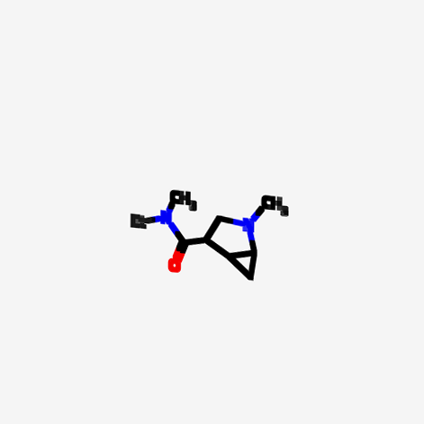 CCN(C)C(=O)C1CN(C)C2CC12